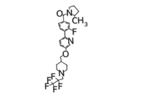 C[C@H]1CCCN1C(=O)c1ccc(-c2ccc(OCC3CCN(CC(F)(F)C(F)(F)F)CC3)cn2)c(F)c1